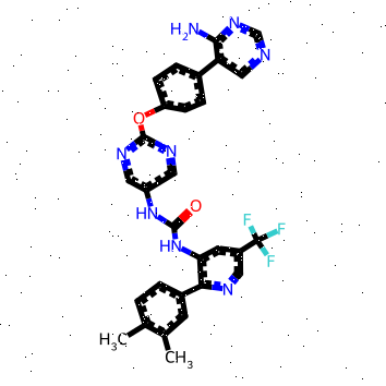 Cc1ccc(-c2ncc(C(F)(F)F)cc2NC(=O)Nc2cnc(Oc3ccc(-c4cncnc4N)cc3)nc2)cc1C